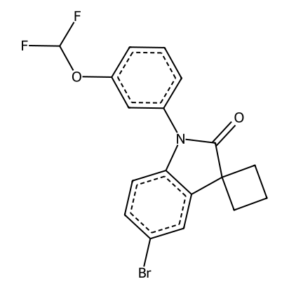 O=C1N(c2cccc(OC(F)F)c2)c2ccc(Br)cc2C12CCC2